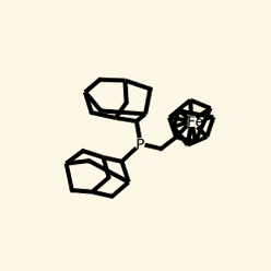 C1C2CC3CC1CC(C2)C3P(C[C]12[CH]3[CH]4[CH]5[CH]1[Fe]45321678[CH]2[CH]1[CH]6[CH]7[CH]28)C1C2CC3CC(C2)CC1C3